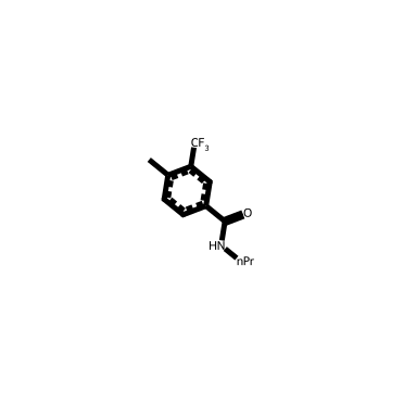 CCCNC(=O)c1ccc(C)c(C(F)(F)F)c1